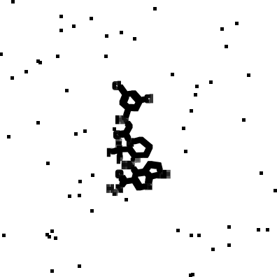 NC(=O)c1cnc2[nH]ccc2c1N[C@H]1CCCN(C(=O)CNc2cc(Cl)cc(Cl)c2)C1C(F)(F)F